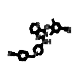 Cc1cc(C#N)cc(C)c1Oc1nc(NC2CCN(Cc3ccc(C#N)cc3)CC2)nc2c1SCCC2